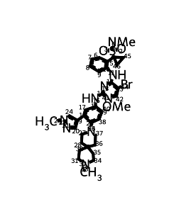 CNS(=O)(=O)C1(c2ccccc2Nc2nc(Nc3cc(-c4cnn(C)c4)c(N4CCC5(CCN(C)CC5)CC4)cc3OC)ncc2Br)CC1